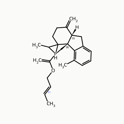 C=C1CCC23C(C)[PH]2(C(=C)OC/C=C/C)CC[C@@]32c3c(C)cccc3C[C@@H]12